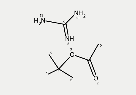 CC(=O)OC(C)(C)C.N=C(N)N